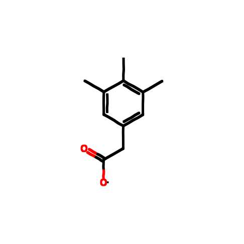 Cc1cc(CC([O])=O)cc(C)c1C